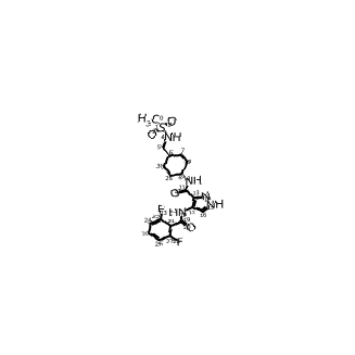 CS(=O)(=O)NC[C@H]1CC[C@H](NC(=O)c2n[nH]cc2NC(=O)C2C(F)=CC=CC2F)CC1